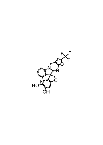 Oc1cc2c(cc1O)C1(CO2)C2=Nc3oc(C(F)(F)F)cc3CN2c2cccc(F)c21